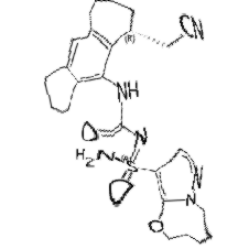 N#CC[C@H]1CCc2cc3c(c(NC(=O)N=[S@@](N)(=O)c4cnn5c4OCCC5)c21)CCC3